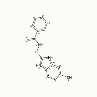 N#Cc1ccc2[nH]c(CNC(=O)c3ccccc3)nc2c1